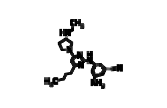 CCCCc1cc(N2CC[C@H](NCC)C2)nc(Nc2cc(N)cc(C#N)c2)n1